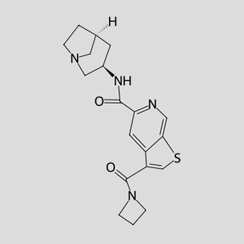 O=C(N[C@@H]1C[C@@H]2CCN(C2)C1)c1cc2c(C(=O)N3CCC3)csc2cn1